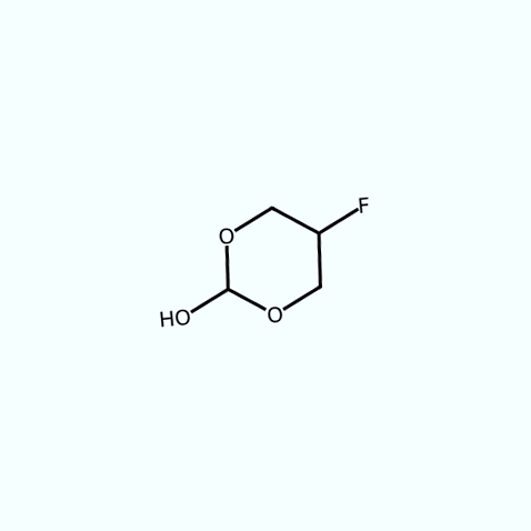 OC1OCC(F)CO1